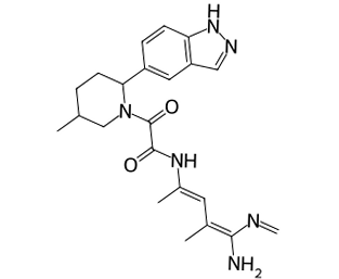 C=N/C(N)=C(C)\C=C(/C)NC(=O)C(=O)N1CC(C)CCC1c1ccc2[nH]ncc2c1